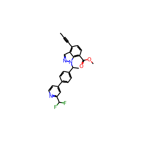 CC#Cc1ccc(C(=O)OC)c2c1cnn2C(C)c1ccc(-c2ccnc(C(F)F)c2)cc1